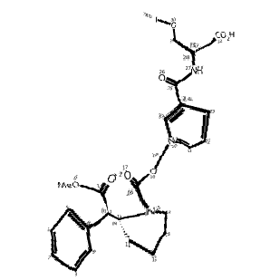 COC(=O)[C@H](c1ccccc1)[C@H]1CCCCN1C(=O)OC[n+]1cccc(C(=O)N[C@@H](COI)C(=O)O)c1